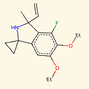 C=CC1(C)NC2(CC2)c2cc(OCC)c(OCC)c(F)c21